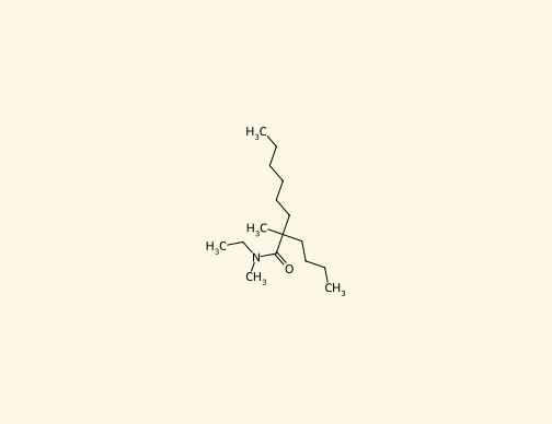 CCCCCCC(C)(CCCC)C(=O)N(C)CC